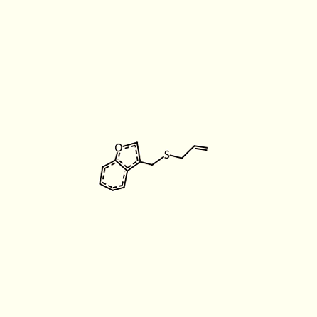 C=CCSCc1coc2ccccc12